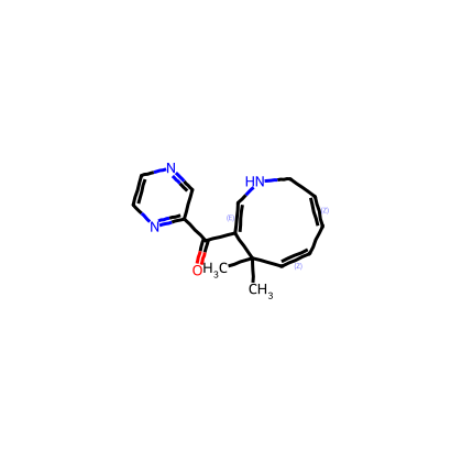 CC1(C)/C=C\C=C/CN/C=C\1C(=O)c1cnccn1